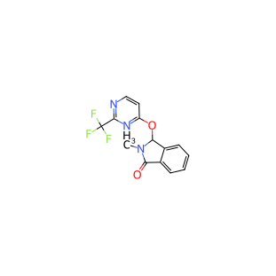 CN1C(=O)c2ccccc2C1Oc1ccnc(C(F)(F)F)n1